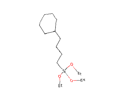 CCO[Si](CCCCC1CCCCC1)(OCC)OCC